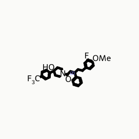 COc1ccc(CC/C(=C/C(=O)N2CCC(O)(c3ccc(C(F)(F)F)cc3)CC2)c2ccccc2)cc1F